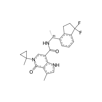 Cc1c[nH]c2c(C(=O)N[C@H](C)c3cccc4c3CCC4(F)F)cn(C3(C)CC3)c(=O)c12